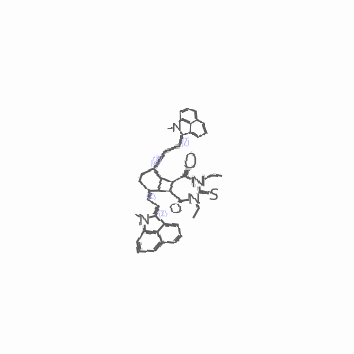 CCN1C(=O)C2C(C(=O)N(CC)C1=S)C1/C(=C\C=c3\c4cccc5cccc(c54)n3C)CC/C(=C/C=c3/c4cccc5cccc(c54)n3C)C21